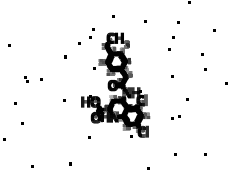 CCc1ccc(CC(=O)N[C@@H]2C[C@@H](C(=O)O)Nc3cc(Cl)cc(Cl)c32)cc1